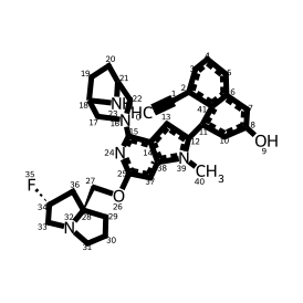 C#Cc1cccc2cc(O)cc(-c3cc4c(N5CC6CCC(C5)N6)nc(OC[C@@]56CCCN5C[C@H](F)C6)cc4n3C)c12